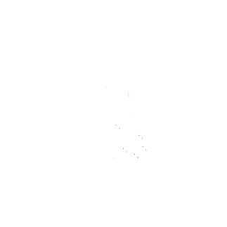 CCc1c(C(=O)Nc2nnnn2C)ccc(C(F)(F)F)c1S(=O)(=O)CC